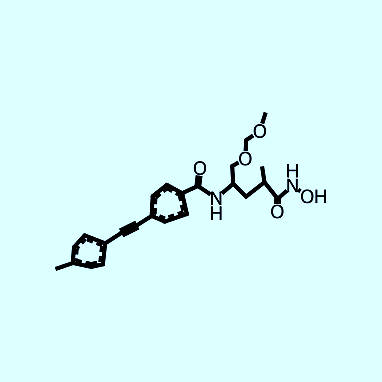 COCOCC(CC(C)C(=O)NO)NC(=O)c1ccc(C#Cc2ccc(C)cc2)cc1